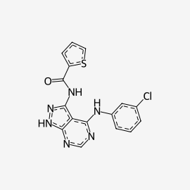 O=C(Nc1n[nH]c2ncnc(Nc3cccc(Cl)c3)c12)c1cccs1